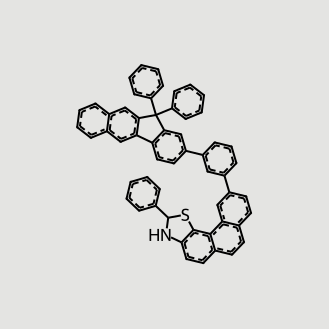 c1ccc(C2Nc3ccc4ccc5ccc(-c6cccc(-c7ccc8c(c7)C(c7ccccc7)(c7ccccc7)c7cc9ccccc9cc7-8)c6)cc5c4c3S2)cc1